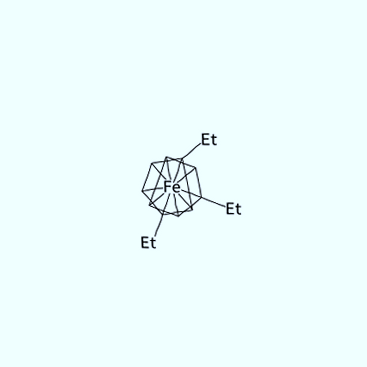 CC[C]12[CH]3[CH]4[CH]5[CH]1[Fe]45321678[CH]2[CH]1[C]6(CC)[CH]7[C]28CC